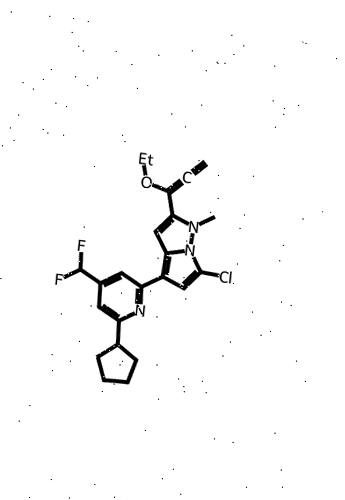 C=C=C(OCC)c1cc2c(-c3cc(C(F)F)cc(C4CCCC4)n3)cc(Cl)n2n1C